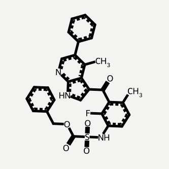 Cc1ccc(NS(=O)(=O)C(=O)OCc2ccccc2)c(F)c1C(=O)c1c[nH]c2ncc(-c3ccccc3)c(C)c12